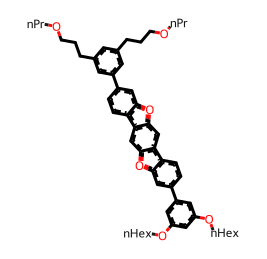 CCCCCCOc1cc(OCCCCCC)cc(-c2ccc3c(c2)oc2cc4c(cc23)oc2cc(-c3cc(CCCOCCC)cc(CCCOCCC)c3)ccc24)c1